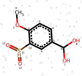 COc1ccc(C(O)O)cc1[SH](=O)=O